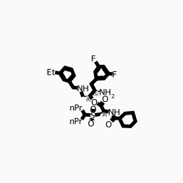 CCCC(CCC)S(=O)(=O)C[C@H](NC(=O)C1CCCCC1)C(=O)O[C@H](CNCc1cccc(CC)c1)[C@@H](N)Cc1cc(F)cc(F)c1